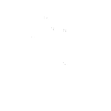 CCC(C)n1ncc2c(cc3n2CC(C)(C)C3)c1=O